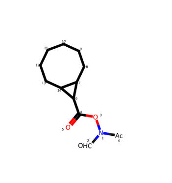 CC(=O)N(C=O)OC(=O)C1C2CCCCCCC21